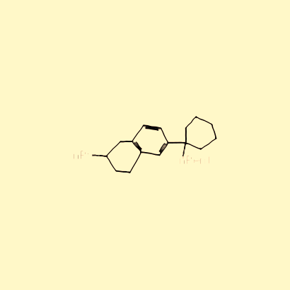 CCCCCC1(c2ccc3c(c2)CCC(CCC)C3)CCCCC1